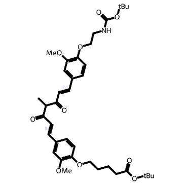 COc1cc(/C=C/C(=O)C(C)C(=O)/C=C/c2ccc(OCCNC(=O)OC(C)(C)C)c(OC)c2)ccc1OCCCCC(=O)OC(C)(C)C